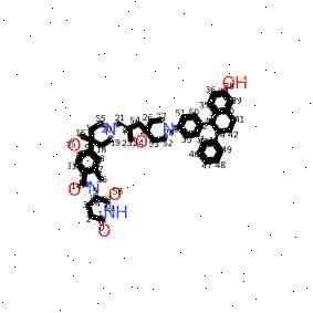 O=C1CC[C@H](N2Cc3cc4c(cc3C2=O)OCC42CCN(C[C@@H]3COC4(CCN(c5ccc([C@H]6c7ccc(O)cc7CC[C@H]6c6ccccc6)cc5)CC4)C3)CC2)C(=O)N1